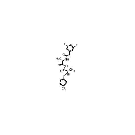 C[C@H](NCc1ccc(C(F)(F)F)cc1)C(=O)NC(=O)[C@H](C)NC(=O)Cc1cc(F)cc(F)c1